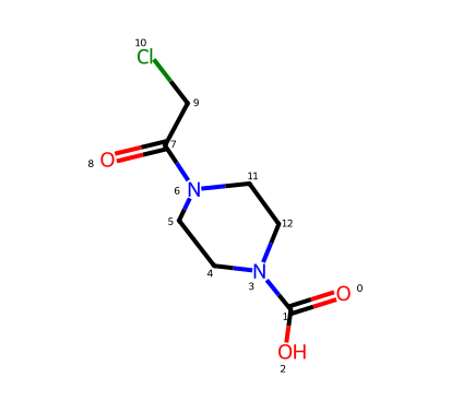 O=C(O)N1CCN(C(=O)CCl)CC1